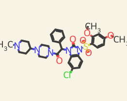 COc1ccc(S(=O)(=O)n2c(=O)n(C(C(=O)N3CCN(C4CCN(C)CC4)CC3)c3ccccc3)c3cc(Cl)ccc32)c(OC)c1